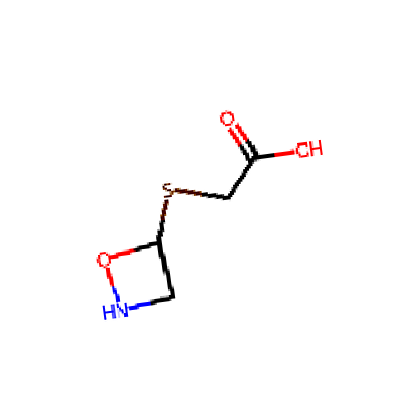 O=C(O)CSC1CNO1